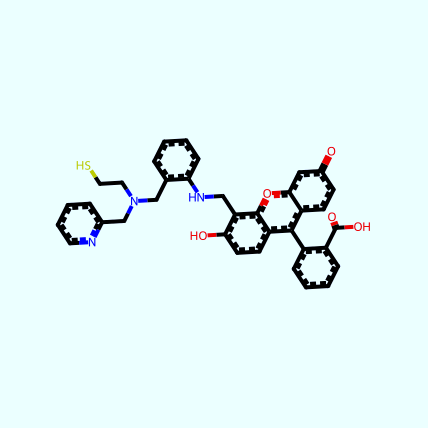 O=C(O)c1ccccc1-c1c2ccc(=O)cc-2oc2c(CNc3ccccc3CN(CCS)Cc3ccccn3)c(O)ccc12